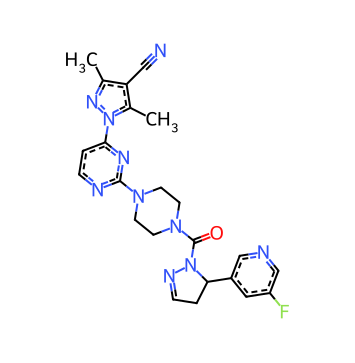 Cc1nn(-c2ccnc(N3CCN(C(=O)N4N=CCC4c4cncc(F)c4)CC3)n2)c(C)c1C#N